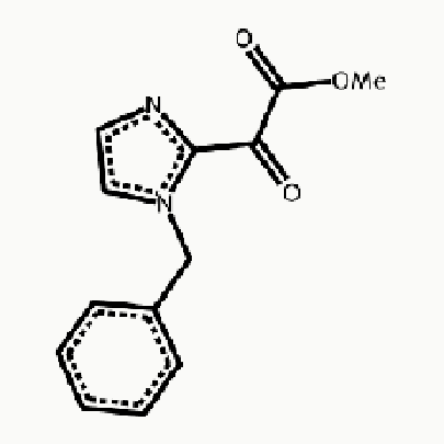 COC(=O)C(=O)c1nccn1Cc1ccccc1